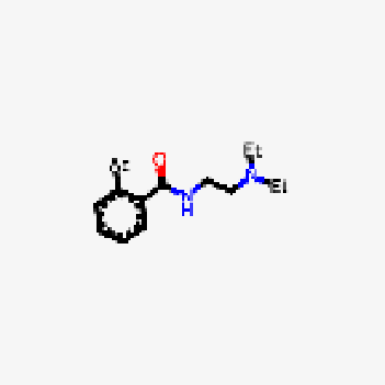 CCN(CC)CCNC(=O)c1ccccc1C(C)=O